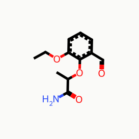 CCOc1cccc(C=O)c1OC(C)C(N)=O